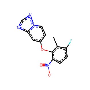 Cc1c(F)ccc([N+](=O)[O-])c1Oc1ccn2ncnc2c1